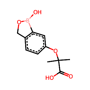 CC(C)(Oc1ccc2c(c1)B(O)OC2)C(=O)O